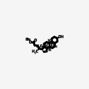 CCC(C)OC(=O)CC[C@@H](C)[C@H]1CC[C@H]2[C@@H]3CCC4C[C@H](O)CC[C@]4(C)[C@H]3CC[C@]12C